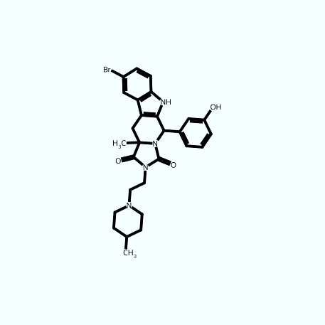 CC1CCN(CCN2C(=O)N3C(c4cccc(O)c4)c4[nH]c5ccc(Br)cc5c4CC3(C)C2=O)CC1